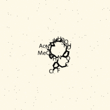 CO[C@@]1(CN(C)C(C)=O)C2=C[C@@H](C2)[C@H](C)[C@@H](C)S(=O)(=O)NC(=O)c2ccc3c(c2)N(Cc2ccc(Cl)c(F)c2CCCCO3)C[C@@H]2CC[C@H]21